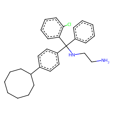 NCCNC(c1ccccc1)(c1ccc(C2CCCCCCC2)cc1)c1ccccc1Cl